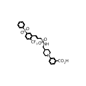 O=C(O)c1cccc(N2CCC(CNS(=O)(=O)CC=Cc3cc(S(=O)(=O)c4ccccc4)ccc3C(F)(F)F)CC2)c1